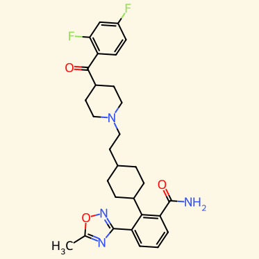 Cc1nc(-c2cccc(C(N)=O)c2C2CCC(CCN3CCC(C(=O)c4ccc(F)cc4F)CC3)CC2)no1